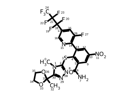 Cn1c(Sc2c(C(N)=O)cc([N+](=O)[O-])cc2-c2ncc(C(F)(F)C(F)(F)C(F)(F)F)cc2F)nnc1C1(C)OCCO1